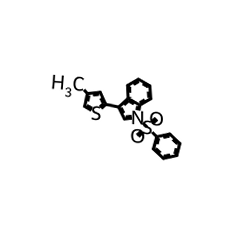 Cc1csc(-c2cn(S(=O)(=O)c3ccccc3)c3ccccc23)c1